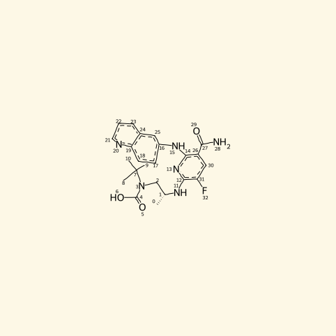 C[C@H](CN(C(=O)O)C(C)(C)C)Nc1nc(Nc2ccc3ncccc3c2)c(C(N)=O)cc1F